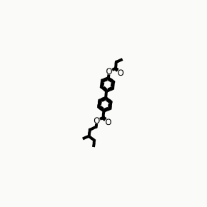 CCC(=O)Oc1ccc(-c2ccc(C(=O)OCCC(C)CC)cc2)cc1